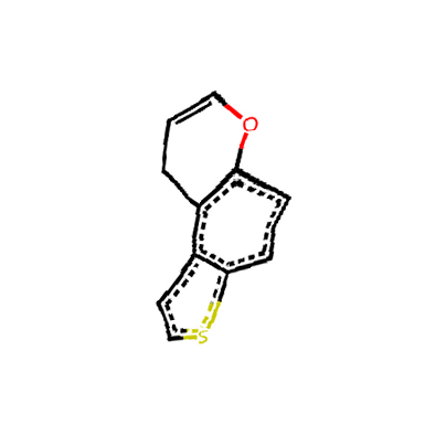 C1=COc2ccc3sccc3c2C1